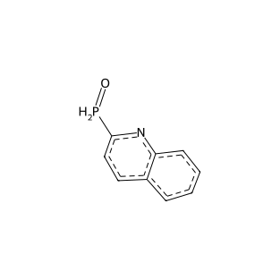 O=[PH2]c1ccc2ccccc2n1